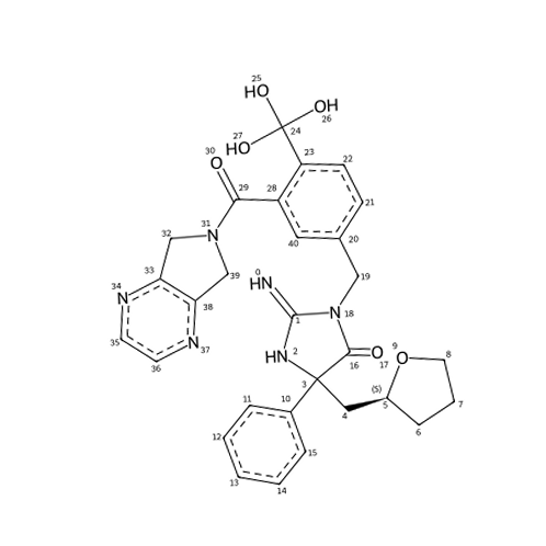 N=C1NC(C[C@@H]2CCCO2)(c2ccccc2)C(=O)N1Cc1ccc(C(O)(O)O)c(C(=O)N2Cc3nccnc3C2)c1